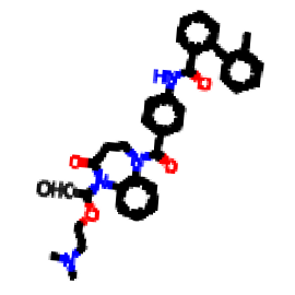 Cc1ccccc1-c1ccccc1C(=O)Nc1ccc(C(=O)N2CCC(=O)N(C(C=O)OCCN(C)C)c3ccccc32)cc1